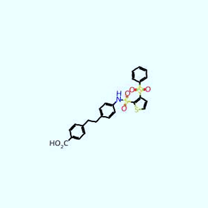 O=C(O)c1ccc(CCc2ccc(NS(=O)(=O)c3sccc3S(=O)(=O)c3ccccc3)cc2)cc1